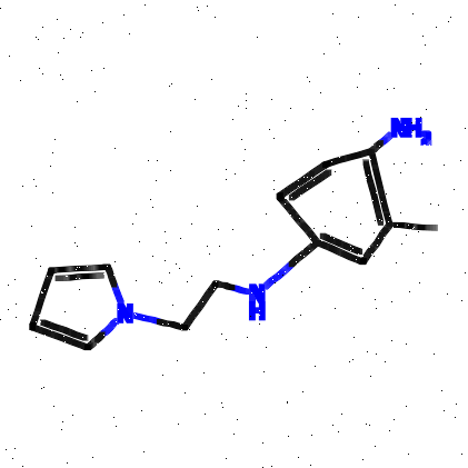 Cc1cc(NCCn2cccc2)ccc1N